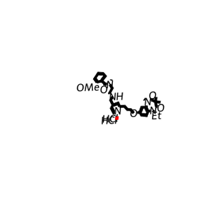 CCN1C(=O)C(C)(C)C(=O)N(C)c2cc(OCCCc3cc(CNCCN(C)C(=O)c4ccccc4OC)ccn3)ccc21.Cl.Cl